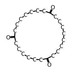 O=C1CCCCCCCCC(=O)CCCCCCC(=O)CCCCCCC1